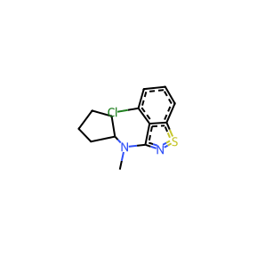 CN(c1nsc2cccc(Cl)c12)C1CCCC1